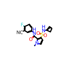 Cn1ccc(S(=O)(=O)NC23CC(C2)C3)c1C(=O)Nc1ccc(F)c(C#N)c1